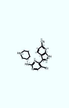 CCc1cnc(N[C@H]2CCCNC2)nc1-c1n[nH]c2nc(C#N)ccc12